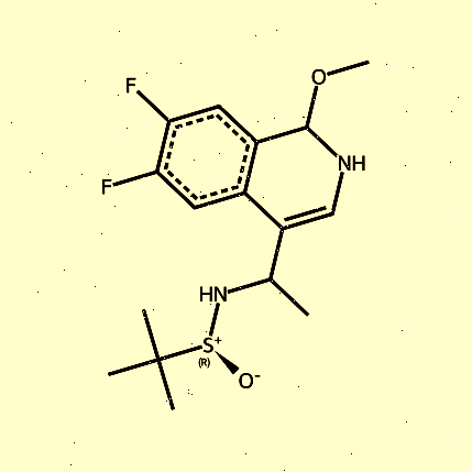 COC1NC=C(C(C)N[S@@+]([O-])C(C)(C)C)c2cc(F)c(F)cc21